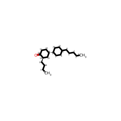 CCCCCC1CCC([C@H]2CCC(=O)[C@H](CCCC)C2)CC1